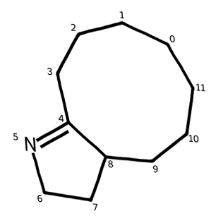 C1CCCC2=NCCC2CCC1